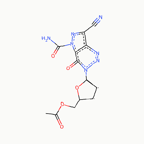 CC(=O)OCC1[CH][CH]C(n2nnc3c(C#N)nn(C(N)=O)c3c2=O)O1